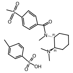 CN(C)[C@@H]1CCCC[C@H]1N(C)C(=O)c1ccc(S(C)(=O)=O)cc1.Cc1ccc(S(=O)(=O)O)cc1